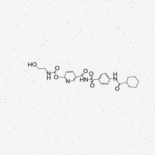 O=C(NCCO)Oc1ccc(C(=O)NS(=O)(=O)c2ccc(NC(=O)C3CCCCC3)cc2)cn1